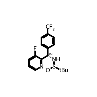 CC(C)(C)[S+]([O-])N[C@@H](c1ccc(C(F)(F)F)cc1)c1ncccc1F